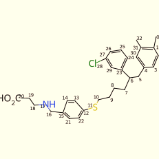 Cc1ccc(CC(CCCCSc2ccc(CNCCC(=O)O)cc2)c2cccc(Cl)c2)cc1C